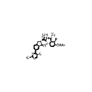 COc1cccc([C@@H](C)NC(=O)[C@@H](CO)N2Cc3ccc(-c4nc(Cl)ncc4Cl)cc3C2=O)c1F